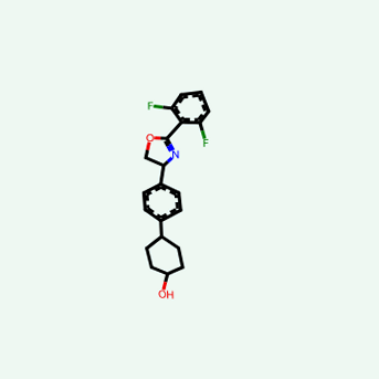 OC1CCC(c2ccc(C3COC(c4c(F)cccc4F)=N3)cc2)CC1